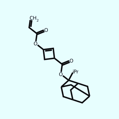 C=CC(=O)OC1=CC(C(=O)OC2(C(C)C)C3CC4CC(C3)CC2C4)C1